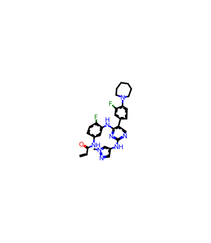 C=CC(=O)Nc1ccc(F)c(Nc2nc(Nc3cnn(C)c3)ncc2-c2ccc(N3CCCCCC3)c(F)c2)c1